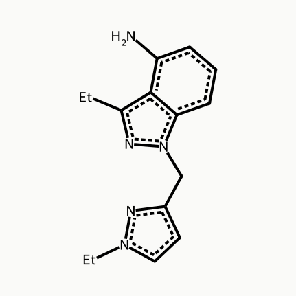 CCc1nn(Cc2ccn(CC)n2)c2cccc(N)c12